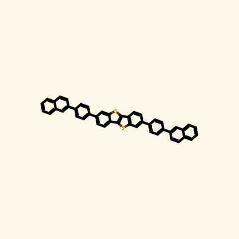 c1ccc2cc(-c3ccc(-c4ccc5c(c4)sc4c6ccc(-c7ccc(-c8ccc9ccccc9c8)cc7)cc6sc54)cc3)ccc2c1